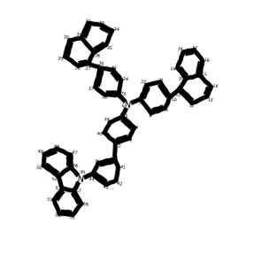 C1=C(C2=CC=C(N(c3ccc(-c4cccc5ccccc45)cc3)c3ccc(-c4cccc5ccccc45)cc3)CC2)CCC=C1n1c2ccccc2c2ccccc21